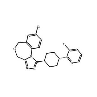 Fc1cccnc1[C@H]1CC[C@H](c2nnc3n2-c2ccc(Cl)cc2COC3)CC1